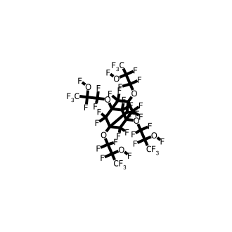 FOC(F)(C(F)(F)F)C(F)(F)OC12C(F)(F)C3(OC(F)(F)C(F)(OF)C(F)(F)F)C(F)(F)C(OC(F)(F)C(F)(OF)C(F)(F)F)(C1(F)F)C(F)(F)C(OC(F)(F)C(F)(OF)C(F)(F)F)(C2(F)F)C3(F)F